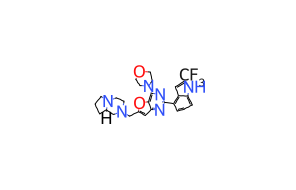 FC(F)(F)c1cc2c(-c3nc(N4CCOCC4)c4oc(CN5CCN6CCC[C@H]6C5)cc4n3)cccc2[nH]1